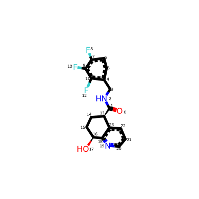 O=C(NCc1ccc(F)c(F)c1F)[C@@H]1CC[C@H](O)c2ncccc21